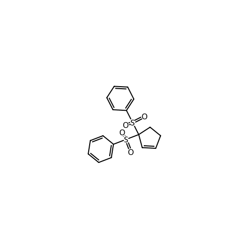 O=S(=O)(c1ccccc1)C1(S(=O)(=O)c2ccccc2)C=CCC1